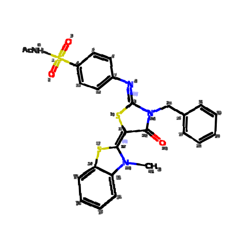 CC(=O)NS(=O)(=O)c1ccc(/N=C2\S/C(=C3\Sc4ccccc4N3C)C(=O)N2Cc2ccccc2)cc1